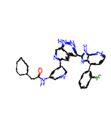 O=C(CC1CCCCC1)Nc1cncc(-c2cc3c(-c4nc5c(-c6ccccc6F)ccnc5[nH]4)n[nH]c3cn2)c1